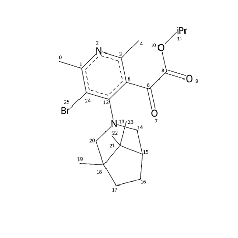 Cc1nc(C)c(C(=O)C(=O)OC(C)C)c(N2CC3CCC(C)(C2)C3(C)C)c1Br